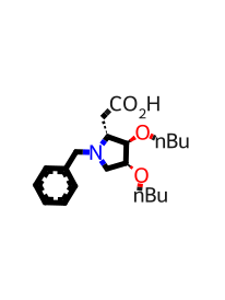 CCCCO[C@@H]1[C@@H](CC(=O)O)N(Cc2ccccc2)C[C@H]1OCCCC